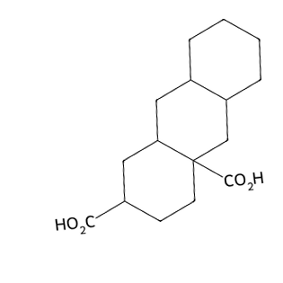 O=C(O)C1CCC2(C(=O)O)CC3CCCCC3CC2C1